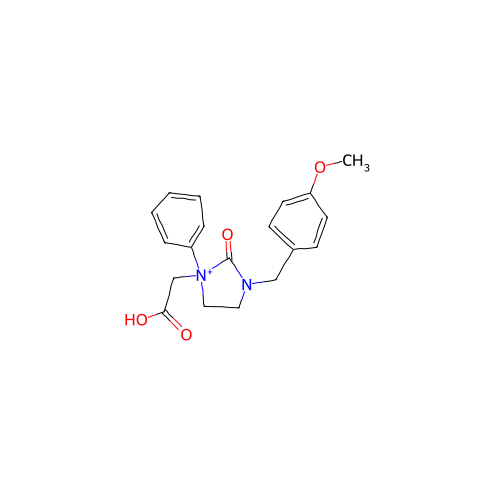 COc1ccc(CN2CC[N+](CC(=O)O)(c3ccccc3)C2=O)cc1